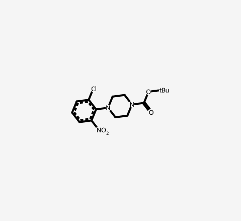 CC(C)(C)OC(=O)N1CCN(c2c(Cl)cccc2[N+](=O)[O-])CC1